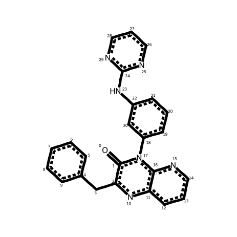 O=c1c(Cc2ccccc2)nc2cccnc2n1-c1cccc(Nc2ncccn2)c1